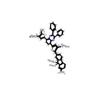 CCCCCCC1(CCCCCC)c2cc(C)ccc2-c2ccc(-c3sc(-c4ccc(-c5cc(CCCCC)c(C)s5)c5nc(-c6ccccc6)c(-c6ccccc6)nc45)cc3CCCCC)cc21